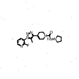 Cc1c(C2=CCN(C(=O)NN3CCCC3)CC2)nnn1-c1cccnc1F